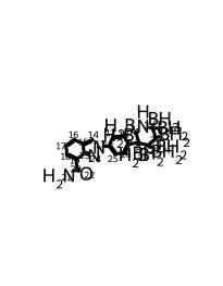 BC1(B)NC(B)(B)C(B)(c2ccc(-n3cc4cccc(C(N)=O)c4n3)cc2)C(B)(B)C1(B)B